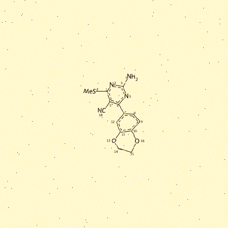 CSc1nc(N)nc(-c2ccc3c(c2)OCCO3)c1C#N